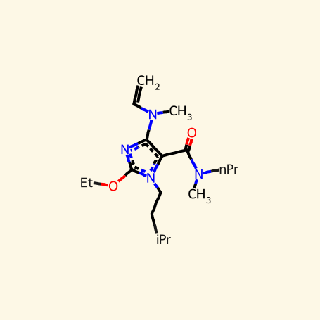 C=CN(C)c1nc(OCC)n(CCC(C)C)c1C(=O)N(C)CCC